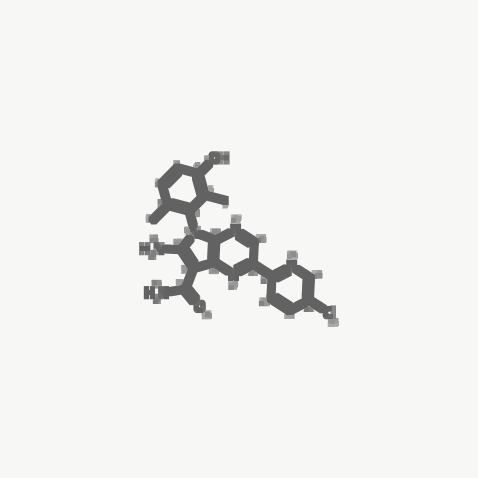 Cc1ccc(O)c(C)c1-n1c(N)c(C(N)=O)c2nc(-c3ccc(Cl)cn3)cnc21